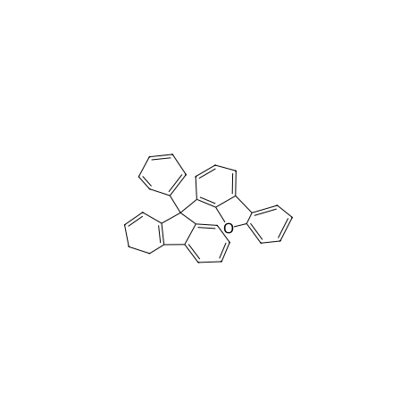 C1=CC2=C(CC1)c1ccccc1C2(c1ccccc1)c1cccc2c1oc1ccccc12